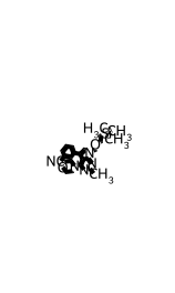 Cc1nc(N2CCOCC2)c2c(-c3cccc(C#N)c3)cn(COCC[Si](C)(C)C)c2n1